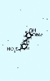 COc1cc(-c2cc3cc(CC(=O)O)ccc3o2)ccc1O